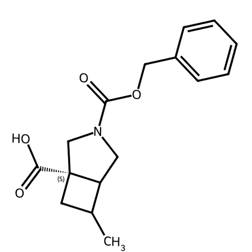 CC1C[C@@]2(C(=O)O)CN(C(=O)OCc3ccccc3)CC12